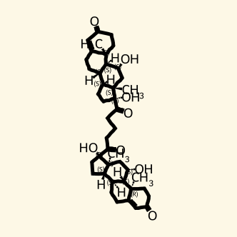 C[C@]12CCC(=O)C=C1CC[C@@H]1[C@@H]2[C@@H](O)C[C@@]2(C)[C@H]1CC[C@]2(O)C(=O)CCCC(=O)[C@@]1(O)CC[C@H]2[C@@H]3CCC4=CC(=O)CC[C@]4(C)[C@H]3[C@@H](O)C[C@@]21C